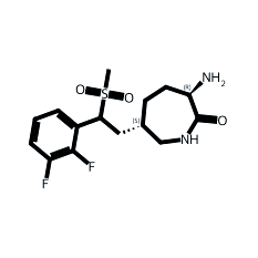 CS(=O)(=O)C(C[C@@H]1CC[C@@H](N)C(=O)NC1)c1cccc(F)c1F